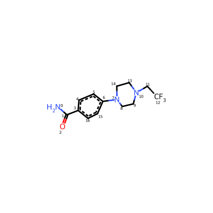 NC(=O)c1ccc(N2CCN(CC(F)(F)F)CC2)cc1